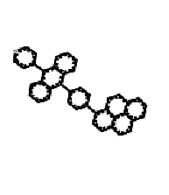 c1cc2ccc3ccc(-c4ccc(-c5c6ccccc6c(-c6ccncc6)c6ccccc56)cc4)c4ccc(c1)c2c34